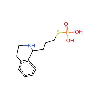 O=P(O)(O)SCCCC1NCCc2ccccc21